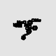 COc1ccc(C2(C(=O)OC(c3ccccc3)N3CCN(CCN4CCCC4)CC3)CC2OC)cc1.Cl.Cl.Cl